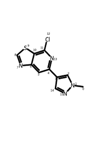 Cn1cc(-c2cc3ncsc3c(Cl)n2)cn1